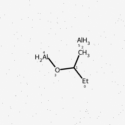 CCC(C)[O][AlH2].[AlH3]